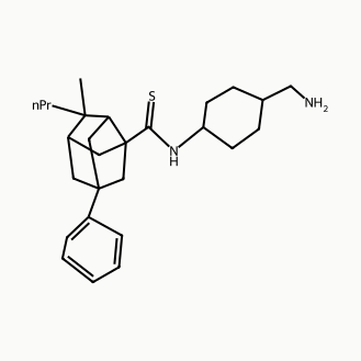 CCCC1(C)C2CC3(c4ccccc4)CC1C(C(=S)NC1CCC(CN)CC1)(C2)C3